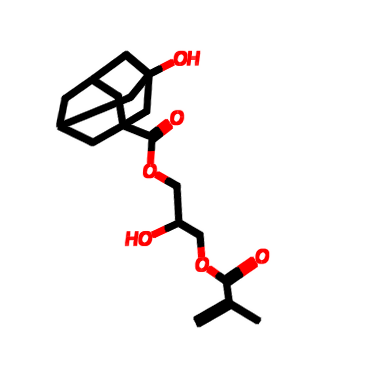 C=C(C)C(=O)OCC(O)COC(=O)C12CC3CC(CC(O)(C3)C1)C2